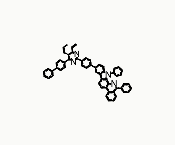 C=Cc1nc(-c2ccc(-c3ccc4c(c3)c3ccc5c6ccccc6c(-c6ccccc6)nc5c3n4-c3ccccc3)cc2)nc(-c2ccc(-c3ccccc3)cc2)c1/C=C\C